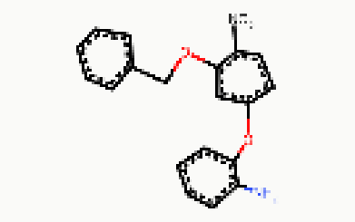 Nc1ccccc1Oc1ccc([N+](=O)[O-])c(OCc2ccccc2)c1